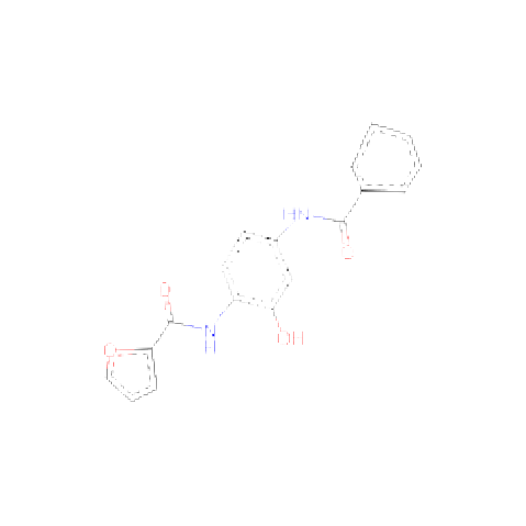 O=C(Nc1ccc(NC(=O)c2ccco2)c(O)c1)c1ccccc1